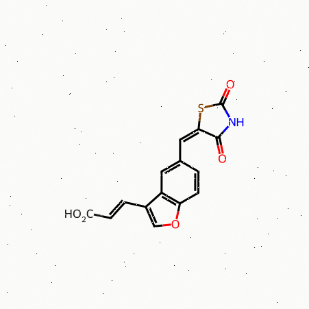 O=C(O)/C=C/c1coc2ccc(/C=C3/SC(=O)NC3=O)cc12